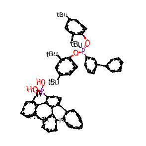 CC(C)(C)c1ccc(OP(Oc2ccc(C(C)(C)C)cc2C(C)(C)C)c2cccc(-c3ccccc3)c2)c(C(C)(C)C)c1.CC(C)c1cccc(C(C)C)c1-c1c(-c2ccccc2)ccc(P(O)O)c1-c1c(C(C)C)cccc1C(C)C